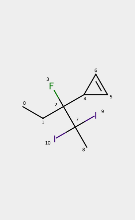 CCC(F)(C1C=C1)C(C)(I)I